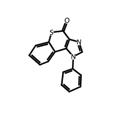 O=c1sc2ccccc2c2c1ncn2-c1ccccc1